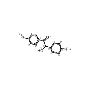 CSc1ccc(C(=O)C(O)c2ccc(F)cc2)cc1